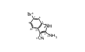 N#Cc1c(N)[nH]c2cc(Br)ccc12